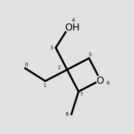 CCC1(CO)COC1C